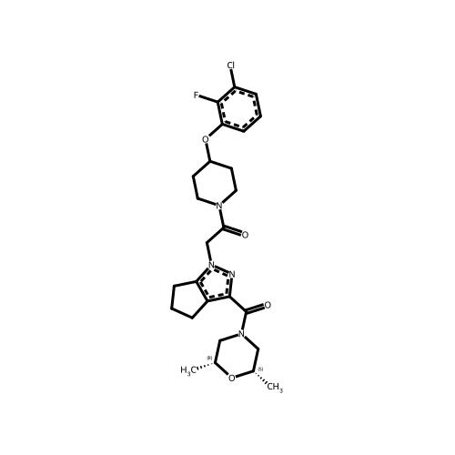 C[C@@H]1CN(C(=O)c2nn(CC(=O)N3CCC(Oc4cccc(Cl)c4F)CC3)c3c2CCC3)C[C@H](C)O1